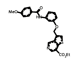 CCOC(=O)c1cncc2c(COc3cccc(NC(=O)c4ccc(OC)cc4)c3)csc12